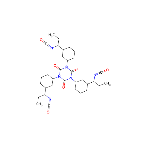 CCC(N=C=O)C1CCCC(n2c(=O)n(C3CCCC(C(CC)N=C=O)C3)c(=O)n(C3CCCC(C(CC)N=C=O)C3)c2=O)C1